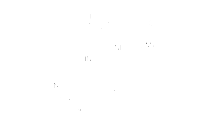 COc1c(Cl)cccc1Nc1c(-c2ccncc2C#CC2CCCN2C(=O)OC(C)(C)C)[nH]c2c1C(=O)NCC2